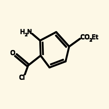 CCOC(=O)c1ccc(C(=O)Cl)c(N)c1